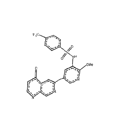 COc1ncc(-c2cn3c(=O)ccnc3cn2)cc1NS(=O)(=O)c1ccc(C(F)(F)F)cc1